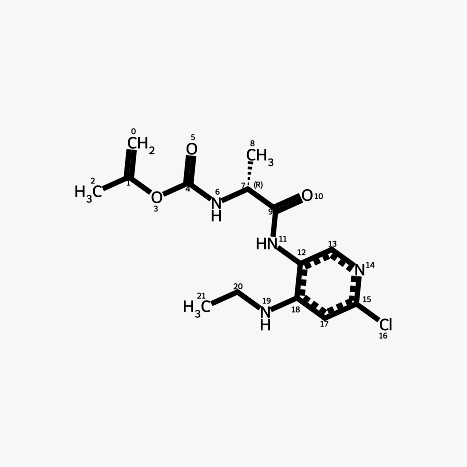 C=C(C)OC(=O)N[C@H](C)C(=O)Nc1cnc(Cl)cc1NCC